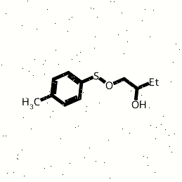 CCC(O)COSc1ccc(C)cc1